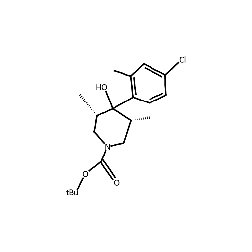 Cc1cc(Cl)ccc1C1(O)[C@H](C)CN(C(=O)OC(C)(C)C)C[C@@H]1C